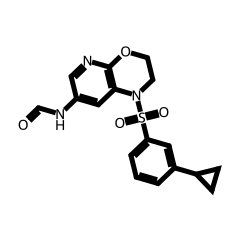 O=CNc1cnc2c(c1)N(S(=O)(=O)c1cccc(C3CC3)c1)CCO2